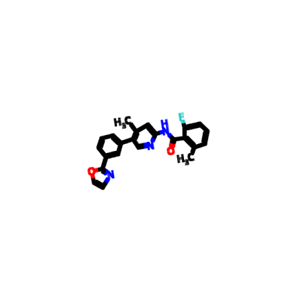 Cc1cc(NC(=O)c2c(C)cccc2F)ncc1-c1cccc(-c2ncco2)c1